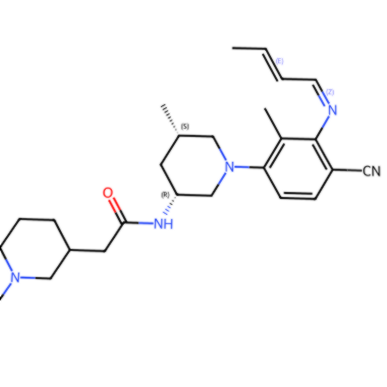 C/C=C/C=N\c1c(C#N)ccc(N2C[C@@H](C)C[C@@H](NC(=O)CC3CCCN(C)C3)C2)c1C